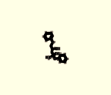 CC(C)(CC(O)COc1ccccc1)Oc1ccccc1